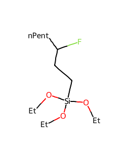 CCCCCC(F)CC[Si](OCC)(OCC)OCC